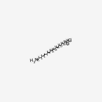 NCCCCC=CCC=CCC=CCC=CCCCCCC(=O)CCl